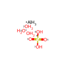 O.O.O.O=S(=O)(O)O.[AlH3]